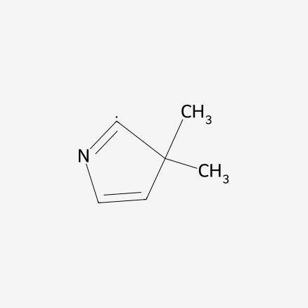 CC1(C)[C]=NC=C1